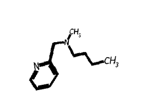 CCCCN(C)Cc1ccccn1